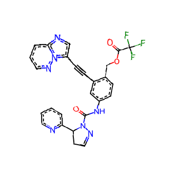 O=C(Nc1ccc(COC(=O)C(F)(F)F)c(C#Cc2cnc3cccnn23)c1)N1N=CCC1c1ccccn1